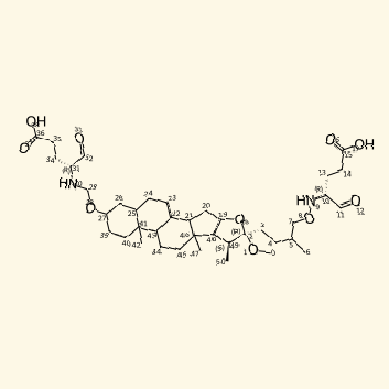 CO[C@]1(CCC(C)CON[C@@H](C=O)CCC(=O)O)OC2CC3C4CCC5CC(OCN[C@@H](C=O)CCC(=O)O)CCC5(C)C4CCC3(C)C2[C@@H]1C